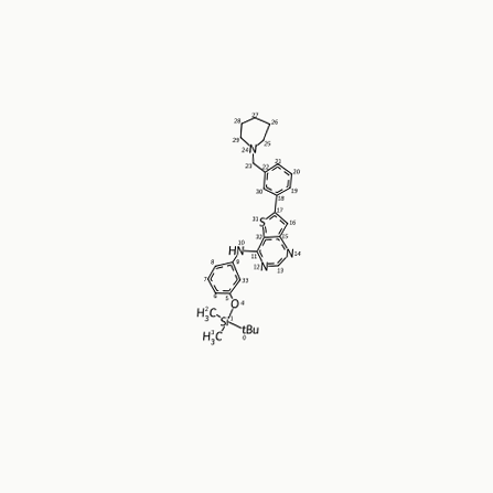 CC(C)(C)[Si](C)(C)Oc1cccc(Nc2ncnc3cc(-c4cccc(CN5CCCCC5)c4)sc23)c1